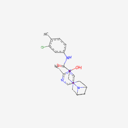 N#Cc1ncc(N2C3CC2CN(CC(O)C(=O)Nc2ccc(C#N)c(Cl)c2)C3)cn1